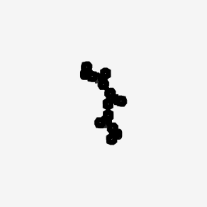 c1ccc(-n2c3ccc(-c4ccc5c(c4)c4ccccc4n5-c4ccc5oc6ccccc6c5c4)cc3c3ccc(-c4ccc5c(c4)c4ccccc4n5-c4ccc5oc6ccccc6c5c4)cc32)cc1